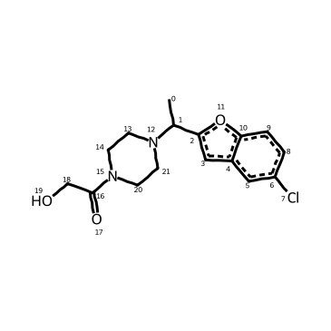 CC(c1cc2cc(Cl)ccc2o1)N1CCN(C(=O)CO)CC1